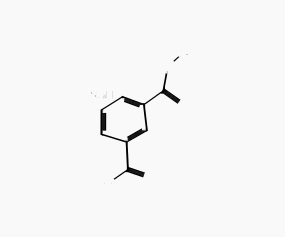 O=C(O)c1cccc(C(=O)OS)c1.[NaH]